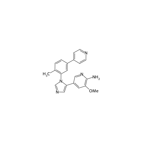 COc1cc(-c2cncn2-c2cc(-c3ccncc3)ccc2C)cnc1N